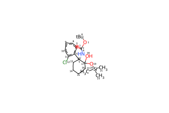 CC(C)(C)OC(=O)N[C@@]1(c2ccccc2Cl)CCCCC1(O)O[Si](C)(C)C